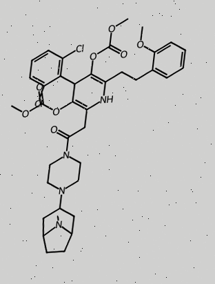 COC(=O)OC1=C(CCc2ccccc2OC)NC(CC(=O)N2CCN(C3CC4CCC(C3)N4C)CC2)=C(OC(=O)OC)C1c1c(Cl)cccc1Cl